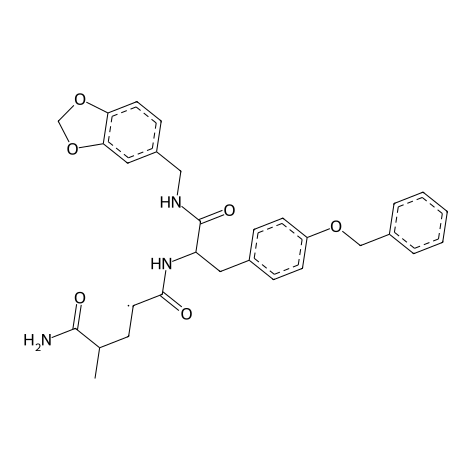 CC(C[CH]C(=O)NC(Cc1ccc(OCc2ccccc2)cc1)C(=O)NCc1ccc2c(c1)OCO2)C(N)=O